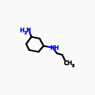 CCCNC1CCCC(N)C1